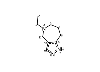 CCN1CCCc2[nH]n[c]c2C1